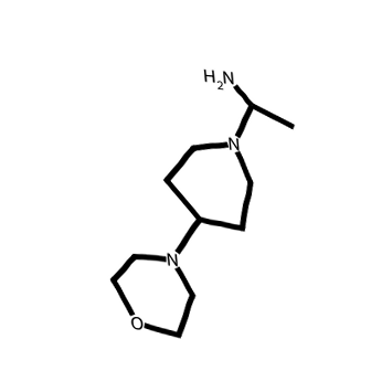 CC(N)N1CCC(N2CCOCC2)CC1